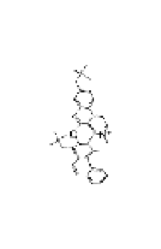 Cc1c2c(c(CC(C)(C)C)c3ccc4ccccc4c13)Oc1cc3cc(CC(C)(C)C)ccc3c3cc[n+](C)c-2c13